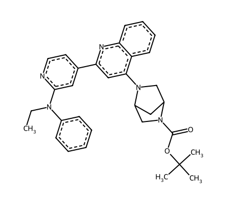 CCN(c1ccccc1)c1cc(-c2cc(N3CC4CC3CN4C(=O)OC(C)(C)C)c3ccccc3n2)ccn1